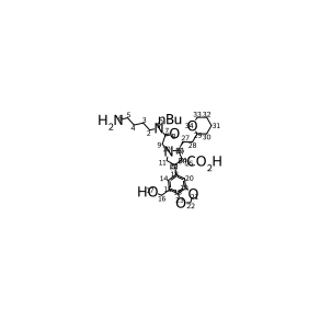 CCCCN(CCCCN)C(=O)CN1C[C@H](c2cc(CO)c3c(c2)OCO3)[C@@H](C(=O)O)[C@@H]1CCC1CCCCO1